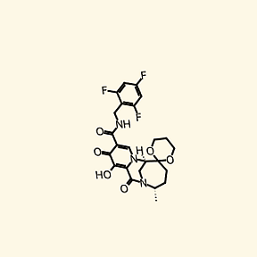 C[C@H]1CCC2(OCCCO2)[C@H]2CN1C(=O)c1c(O)c(=O)c(C(=O)NCc3c(F)cc(F)cc3F)cn12